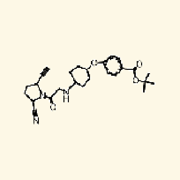 C#CC1CCC(C#N)N1C(=O)CNC1CCC(Oc2ccc(C(=O)OC(C)(C)C)cc2)CC1